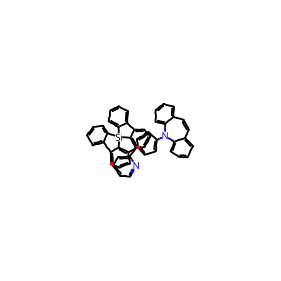 C1=Cc2ccccc2N(c2ccc(-c3cccc4c3[Si]3(c5ccccc5-4)c4ccccc4-c4cccc(-c5ccccn5)c43)cc2)c2ccccc21